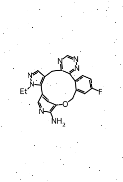 CCn1ncc2c1-c1cnc(N)c(c1)OCc1cc(F)ccc1-c1nncnc1C2